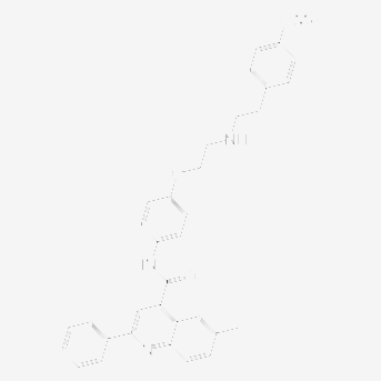 COc1ccc(CCNCCOc2ccc(NC(=O)c3cc(-c4ccccc4)nc4ccc(C)cc34)cc2)cc1